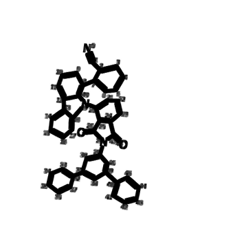 N#Cc1ccccc1-c1cccc2c3ccccc3n(-c3cccc4c3C(=O)N(c3cc(-c5ccccc5)cc(-c5ccccc5)c3)C4=O)c12